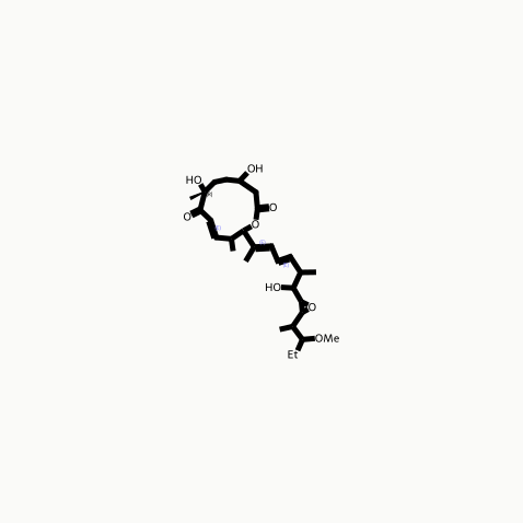 CCC(OC)C(C)C1OC1C(O)C(C)/C=C/C=C(\C)C1OC(=O)CC(O)CC[C@@](C)(O)C(=O)/C=C/C1C